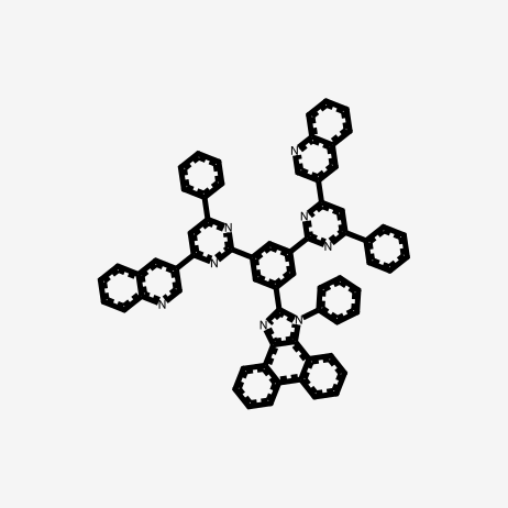 c1ccc(-c2cc(-c3cnc4ccccc4c3)nc(-c3cc(-c4nc(-c5ccccc5)cc(-c5cnc6ccccc6c5)n4)cc(-c4nc5c6ccccc6c6ccccc6c5n4-c4ccccc4)c3)n2)cc1